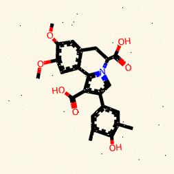 COc1cc2c(cc1OC)-c1c(C(=O)O)c(-c3cc(C)c(O)c(C)c3)cn1C(C(=O)O)C2